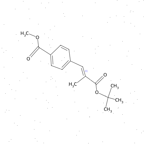 COC(=O)c1ccc(/C=C(\C)C(=O)OC(C)(C)C)cc1